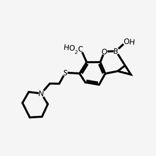 O=C(O)c1c(SCCN2CCCCC2)ccc2c1OB(O)C1CC21